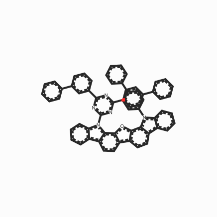 c1ccc(-c2ccc(-c3nc(-c4cccc(-c5ccccc5)c4)nc(-n4c5ccccc5c5ccc6c7ccc8c9ccccc9n(-c9ccc(-c%10ccccc%10)cc9)c8c7oc6c54)n3)cc2)cc1